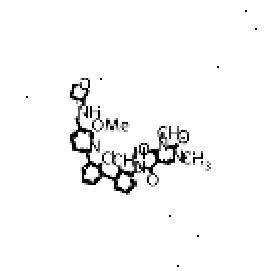 COc1nc(-c2cccc(-c3cccc(NC(=O)c4cn(C)c(=O)n(C)c4=O)c3C)c2Cl)ccc1CN[C@H]1CCOC1